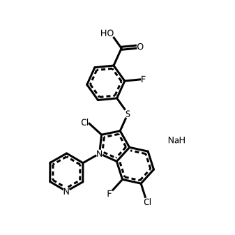 O=C(O)c1cccc(Sc2c(Cl)n(-c3cccnc3)c3c(F)c(Cl)ccc23)c1F.[NaH]